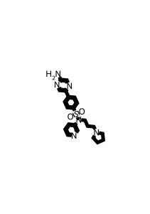 Nc1cnc(-c2ccc(S(=O)(=O)N(CCCN3CCCC3)c3cccnc3)cc2)cn1